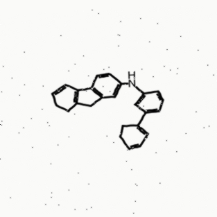 C1=CCCC(c2cccc(Nc3ccc4c(c3)CC3=C4C=CCC3)c2)=C1